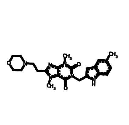 Cc1ccc2[nH]c(Cn3c(=O)c4c(nc(CCN5CCOCC5)n4C)n(C)c3=O)cc2c1